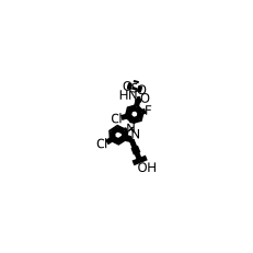 CC(C)(O)C#Cc1nn(-c2cc(F)c(C(=O)NS(C)(=O)=O)cc2Cl)c2ccc(Cl)cc12